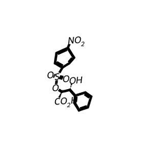 O=C(O)[C@@H](OS(=O)(=O)c1ccc([N+](=O)[O-])cc1)[C@H](O)c1ccccc1